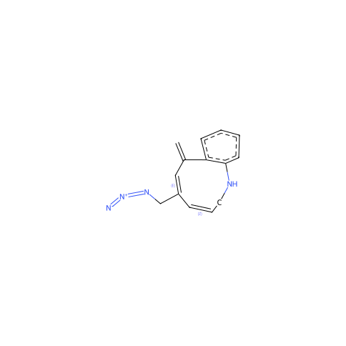 C=C1/C=C(CN=[N+]=[N-])\C=C/CNc2ccccc21